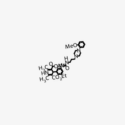 CCOC(=O)C1=C(C)NC(C)=C(C(=O)OC)C1c1cccc(NC(=O)NCCCN2CCN(c3ccccc3OC)CC2)c1